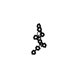 c1ccc(-c2ccc(-n3c4ccccc4c4cc5c(cc43)c3ccccc3n5-c3cccc4c3oc3cc5ccccc5cc34)cc2)cc1